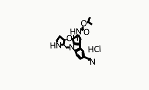 CC(C)OC(=O)NC1Cc2c(n(C[C@H]3NCC[C@H]3O)c3ccc(C#N)cc23)C1.Cl